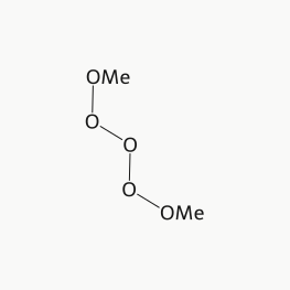 COOOOOC